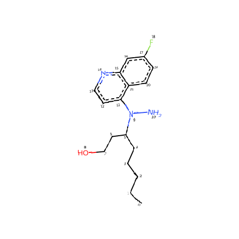 CCCCCC(CCO)N(N)c1ccnc2cc(F)ccc12